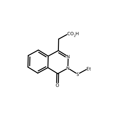 CCSn1nc(CC(=O)O)c2ccccc2c1=O